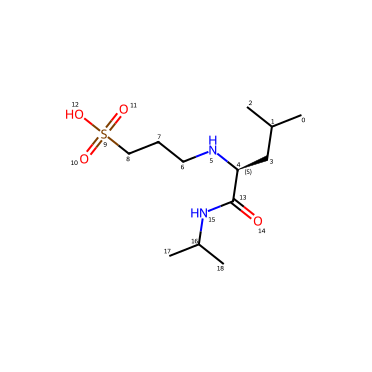 CC(C)C[C@H](NCCCS(=O)(=O)O)C(=O)NC(C)C